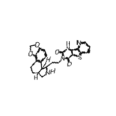 O=c1[nH]c2c(sc3cccnc32)c(=O)n1CCC1NC[C@@H]2CCc3c(ccc4c3OCO4)[C@H]12